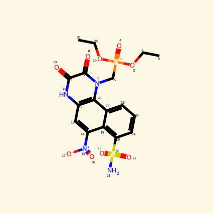 CCOP(=O)(Cn1c(=O)c(=O)[nH]c2cc([N+](=O)[O-])c3c(S(N)(=O)=O)cccc3c21)OCC